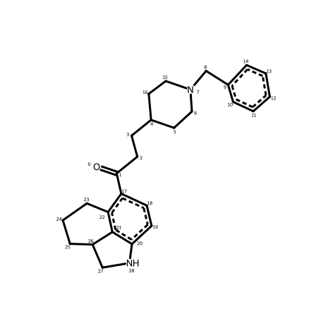 O=C(CCC1CCN(Cc2ccccc2)CC1)c1ccc2c3c1CCCC3CN2